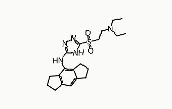 CCN(CC)CCS(=O)(=O)c1nnc(Nc2c3c(cc4c2CCC4)CCC3)[nH]1